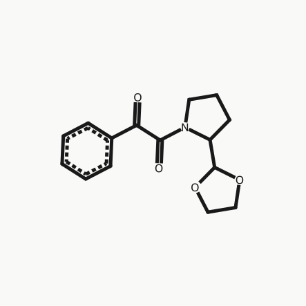 O=C(C(=O)N1CCCC1C1OCCO1)c1ccccc1